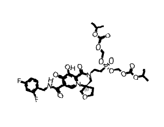 CC(C)OC(=O)OCOP(=O)(CCN1C[C@]2(CCOC2)n2cc(C(=O)NCc3ccc(F)cc3F)c(=O)c(O)c2C1=O)OCOC(=O)OC(C)C